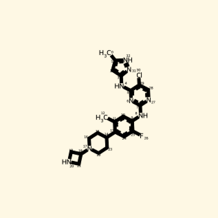 Cc1cc(Nc2nc(Nc3cc(C)c(C4CCN(C5CNC5)CC4)cc3F)ncc2Cl)n[nH]1